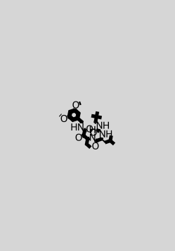 CCC(NC(=O)[C@H](CC(C)C)NC(=O)NCC(C)(C)C)C(=O)C(=O)NCc1cc(OC)cc(OC)c1